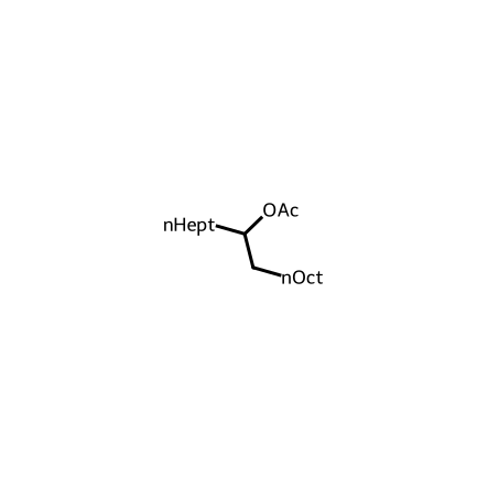 CCCCCCCCCC(CCCCCCC)OC(C)=O